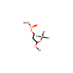 CCOC(CCO[PH](=O)OC)O[Si](CC)(CC)CC